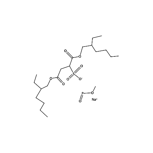 CCCCC(CC)COC(=O)CC(C(=O)OCC(CC)CCCC)S(=O)(=O)[O-].COP=O.[Na+]